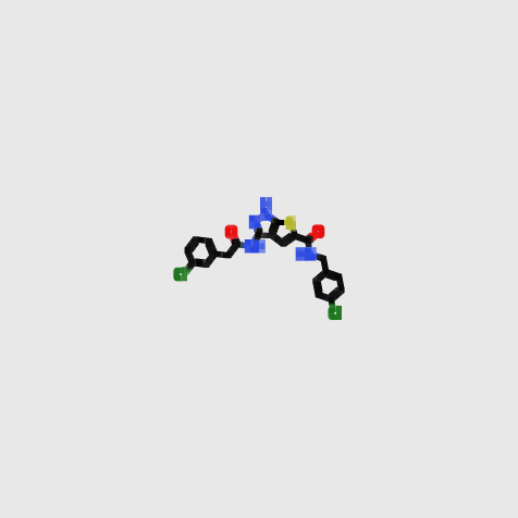 O=C(Cc1cccc(Cl)c1)Nc1n[nH]c2sc(C(=O)NCc3ccc(Cl)cc3)cc12